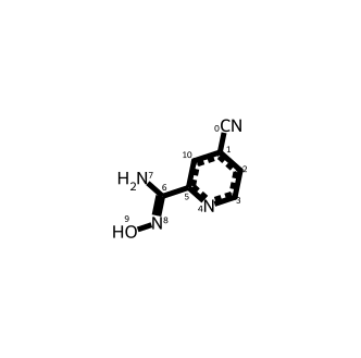 N#Cc1ccnc(C(N)=NO)c1